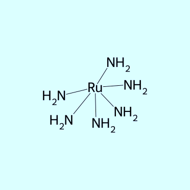 [NH2][Ru]([NH2])([NH2])([NH2])([NH2])[NH2]